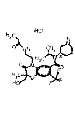 CCC(=O)NCCN1C(=O)C(C)(CO)Oc2cc(C(F)(F)F)c(C(=O)N(C(C)C)[C@@H]3CCCNC3)cc21.Cl